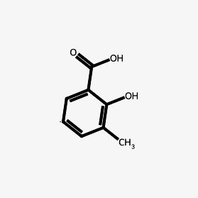 Cc1c[c]cc(C(=O)O)c1O